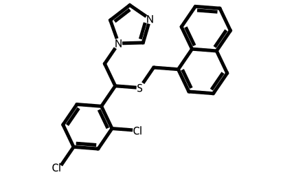 Clc1ccc(C(Cn2ccnc2)SCc2cccc3ccccc23)c(Cl)c1